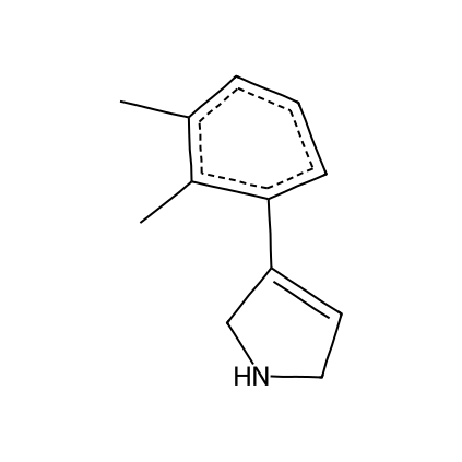 Cc1cccc(C2=CCNC2)c1C